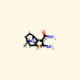 CN1C2CC[C@H]1Cc1sc(N)c(C(N)=O)c12